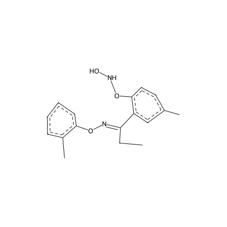 CC/C(=N\Oc1ccccc1C)c1cc(C)ccc1ONO